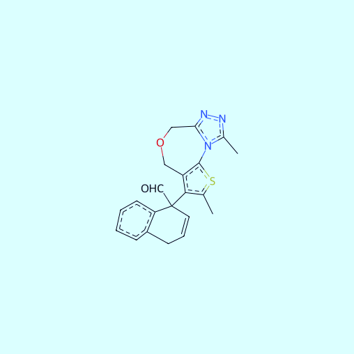 Cc1sc2c(c1C1(C=O)C=CCc3ccccc31)COCc1nnc(C)n1-2